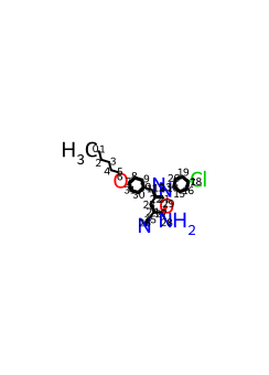 CCCCCCOc1ccc(-c2nn(-c3ccc(Cl)cc3)cc2/C=C(/C#N)C(N)=O)cc1